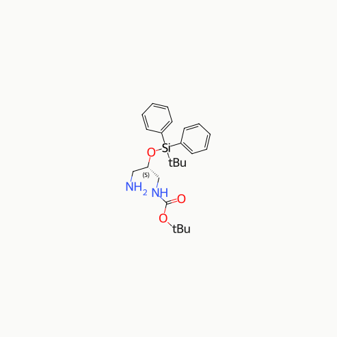 CC(C)(C)OC(=O)NC[C@H](CN)O[Si](c1ccccc1)(c1ccccc1)C(C)(C)C